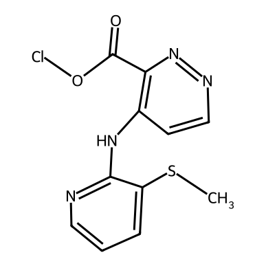 CSc1cccnc1Nc1ccnnc1C(=O)OCl